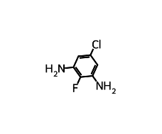 Nc1cc(Cl)cc(N)c1F